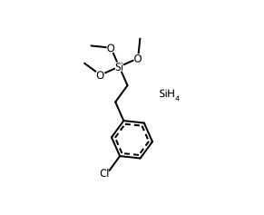 CO[Si](CCc1cccc(Cl)c1)(OC)OC.[SiH4]